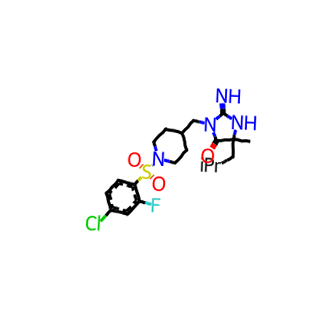 CC(C)CC1(C)NC(=N)N(CC2CCN(S(=O)(=O)c3ccc(Cl)cc3F)CC2)C1=O